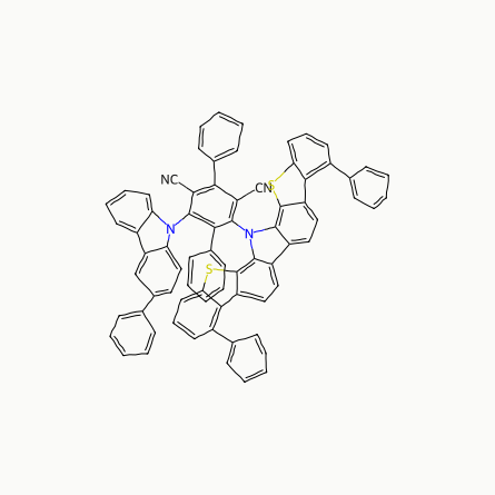 N#Cc1c(-c2ccccc2)c(C#N)c(-n2c3c(ccc4c3sc3cccc(-c5ccccc5)c34)c3ccc4c(sc5cccc(-c6ccccc6)c54)c32)c(-c2ccccc2)c1-n1c2ccccc2c2cc(-c3ccccc3)ccc21